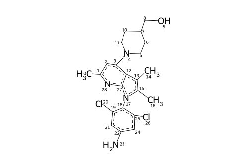 Cc1cc(N2CCC(CO)CC2)c2c(C)c(C)n(-c3c(Cl)cc(N)cc3Cl)c2n1